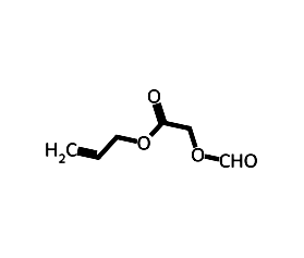 C=CCOC(=O)COC=O